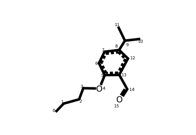 CCCCOc1ccc(C(C)C)cc1C=O